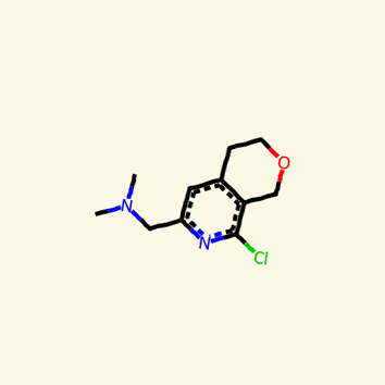 CN(C)Cc1cc2c(c(Cl)n1)COCC2